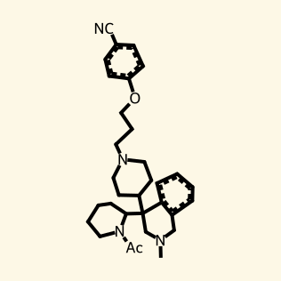 CC(=O)N1CCCCC1C1(C2CCN(CCCOc3ccc(C#N)cc3)CC2)CN(C)Cc2ccccc21